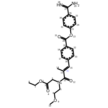 CCOC(=O)CN(CCOC)C(=O)/C(C)=C/c1ccc(C(=O)Oc2ccc(C(=N)N)cc2)cc1